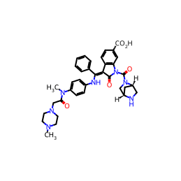 CN1CCN(CC(=O)N(C)c2ccc(N/C(=C3\C(=O)N(C(=O)N4C[C@@H]5C[C@H]4CN5)c4cc(C(=O)O)ccc43)c3ccccc3)cc2)CC1